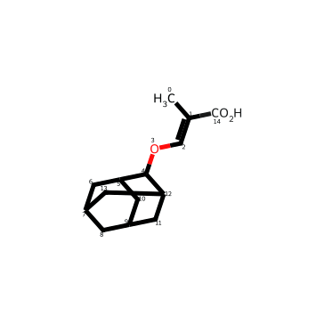 CC(=COC1C2CC3CC(C2)CC1C3)C(=O)O